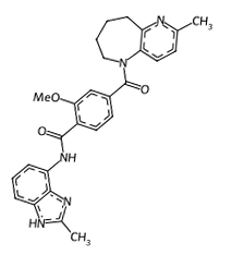 COc1cc(C(=O)N2CCCCc3nc(C)ccc32)ccc1C(=O)Nc1cccc2[nH]c(C)nc12